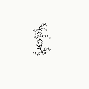 CCC(C)(C)C(=O)OC(C)(C)C12CC3CC(C1)C(C(C)(C)O)(C3)C2